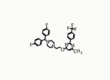 Cc1cc(OCCN2CCN(C(c3ccc(F)cc3)c3ccc(F)cc3)CC2)nc(-c2ccc(C(F)(F)F)cc2)n1